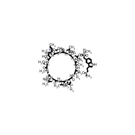 C/C=C/C[C@@H](C)[C@@H](O)[C@H]1C(=O)N[C@@H](CC)C(=O)N(C)CC(=O)N(C)[C@@H](CC(C)C)C(=O)N[C@@H](C(C)C)C(=O)N(C)[C@@H](CC(C)C)C(=O)N[C@@H](C)C(=O)N[C@H](C)C(=O)N(C)[C@@H](CC(C)C)C(=O)N(C)[C@@H](CC(C)C)C(=O)N(C)[C@@H](C(C)C)C(=O)N1C.CNS(=O)(=O)Cc1ccc2[nH]cc(CCN(C)C)c2c1